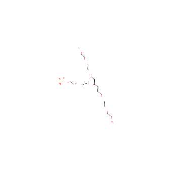 COCCOCCOCCCC(CCOCCOCCOC)OCCOCCOP(=O)(O)O